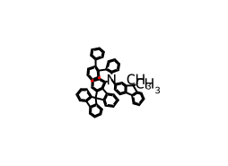 CC1(C)c2ccccc2-c2ccc(N(c3ccccc3-c3ccccc3-c3ccccc3)c3cccc4c3-c3ccccc3C43c4ccccc4-c4ccccc43)cc21